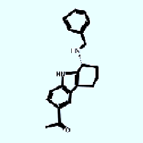 CC(=O)c1ccc2[nH]c3c(c2c1)CCC[C@H]3NCc1ccccc1